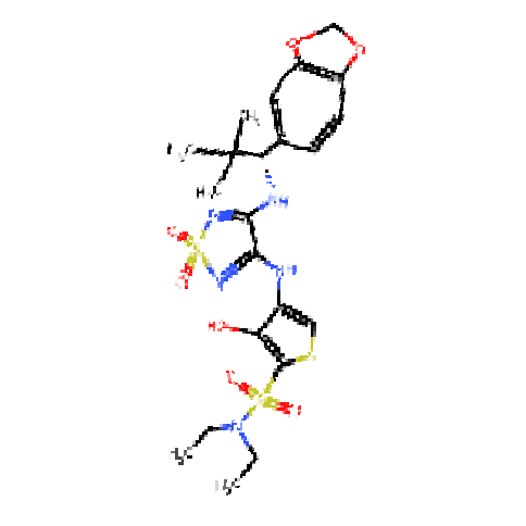 CCN(CC)S(=O)(=O)c1scc(NC2=NS(=O)(=O)N=C2N[C@@H](c2ccc3c(c2)OCO3)C(C)(C)C)c1O